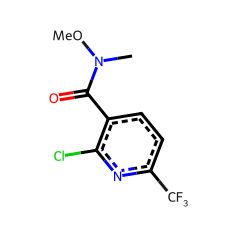 CON(C)C(=O)c1ccc(C(F)(F)F)nc1Cl